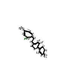 CCCc1ccc(CCc2ccc(-c3ccc(CC)cc3)cc2)c(F)c1